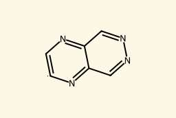 [c]1cnc2cnncc2n1